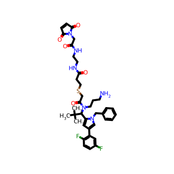 CC(C)(C)C(c1cc(-c2cc(F)ccc2F)cn1Cc1ccccc1)N(CCCN)C(=O)CSCCC(=O)NCCNC(=O)CN1C(=O)C=CC1=O